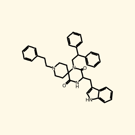 O=C1C(Cc2c[nH]c3ccccc23)NC(=O)C2(CCN(CCc3ccccc3)CC2)N1CC(c1ccccc1)c1ccccc1